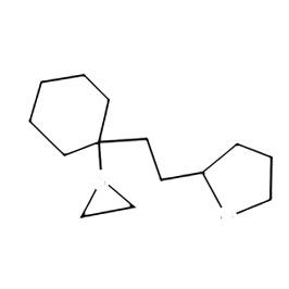 C1CCC(CCC2CCCO2)([S+]2CC2)CC1